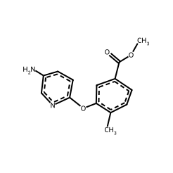 COC(=O)c1ccc(C)c(Oc2ccc(N)cn2)c1